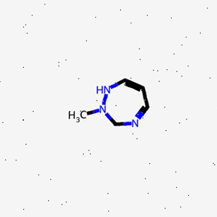 CN1CN=CC=CN1